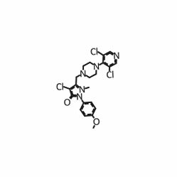 COc1ccc(-n2c(=O)c(Cl)c(CN3CCN(c4c(Cl)cncc4Cl)CC3)n2C)cc1